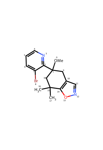 COC1(c2ncccc2Br)Cc2cnoc2C(C)(C)C1